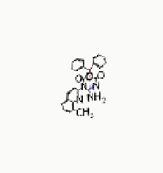 Cc1cccc2ccc(N(C(=O)OCc3ccccc3)/C(N)=N\C(=O)OCc3ccccc3)nc12